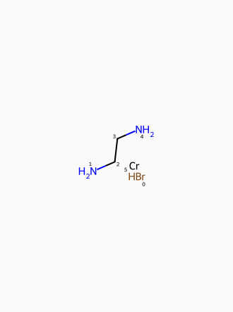 Br.NCCN.[Cr]